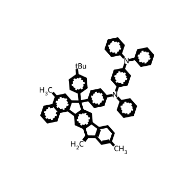 C=C1C2=C(CCC(C)=C2)c2cc3c(cc21)-c1c(cc(C)c2ccccc12)C3(c1ccc(N(c2ccccc2)c2ccc(N(c3ccccc3)c3ccccc3)cc2)cc1)c1ccc(C(C)(C)C)cc1